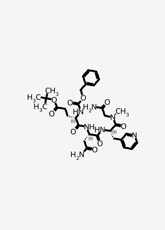 CN(CC(N)=O)C(=O)[C@H](Cc1cccnc1)NC(=O)[C@H](CC(N)=O)NC(=O)[C@H](CCC(=O)OC(C)(C)C)NC(=O)OCc1ccccc1